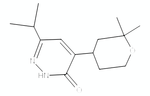 CC(C)c1cc(C2CCOC(C)(C)C2)c(=O)[nH]n1